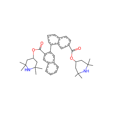 CC1(C)CC(OC(=O)c2ccc3cccc(-c4cc5ccccc5cc4C(=O)OC4CC(C)(C)NC(C)(C)C4)c3c2)CC(C)(C)N1